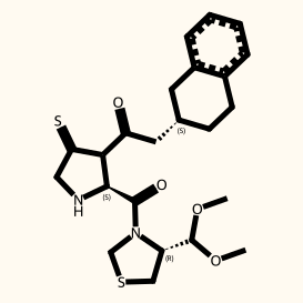 COC(OC)[C@@H]1CSCN1C(=O)[C@H]1NCC(=S)C1C(=O)C[C@H]1CCc2ccccc2C1